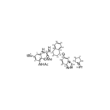 COc1c(NC(C)=O)cc(C(C)(C)C)cc1NC(=O)N[C@H]1CC[C@@H](Oc2ccc3nnc([C@@H]4CCCN4C(C)C)n3c2)c2ccccc21